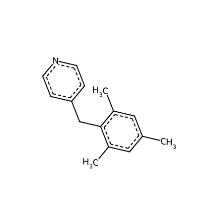 Cc1cc(C)c(Cc2ccncc2)c(C)c1